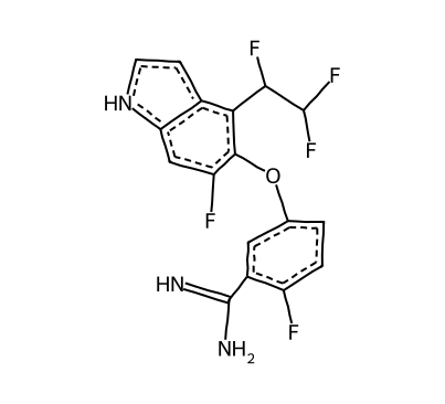 N=C(N)c1cc(Oc2c(F)cc3[nH]ccc3c2C(F)C(F)F)ccc1F